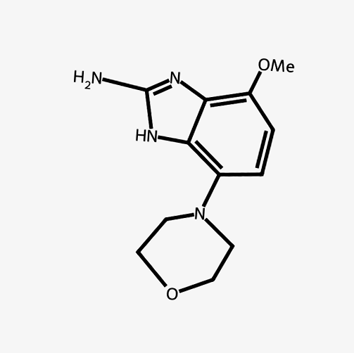 COc1ccc(N2CCOCC2)c2[nH]c(N)nc12